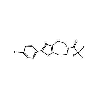 O=C(N1CCc2nc(-c3ccc(Cl)nc3)sc2CC1)C(F)(F)F